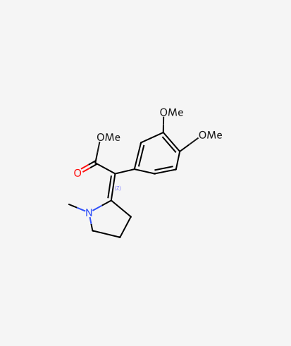 COC(=O)/C(=C1/CCCN1C)c1ccc(OC)c(OC)c1